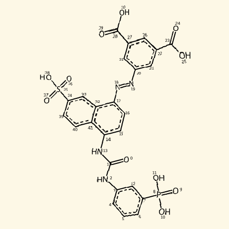 O=C(Nc1cccc(P(=O)(O)O)c1)Nc1ccc(/N=N/c2cc(C(=O)O)cc(C(=O)O)c2)c2cc(S(=O)(=O)O)ccc12